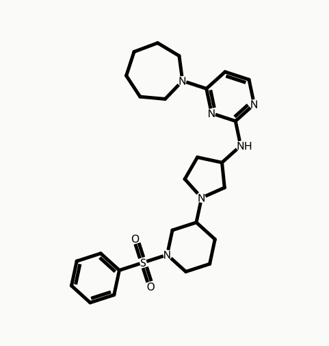 O=S(=O)(c1ccccc1)N1CCCC(N2CCC(Nc3nccc(N4CCCCCC4)n3)C2)C1